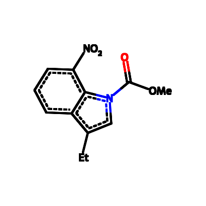 CCc1cn(C(=O)OC)c2c([N+](=O)[O-])cccc12